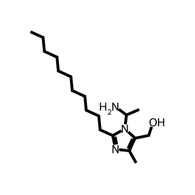 CCCCCCCCCCCc1nc(C)c(CO)n1C(C)N